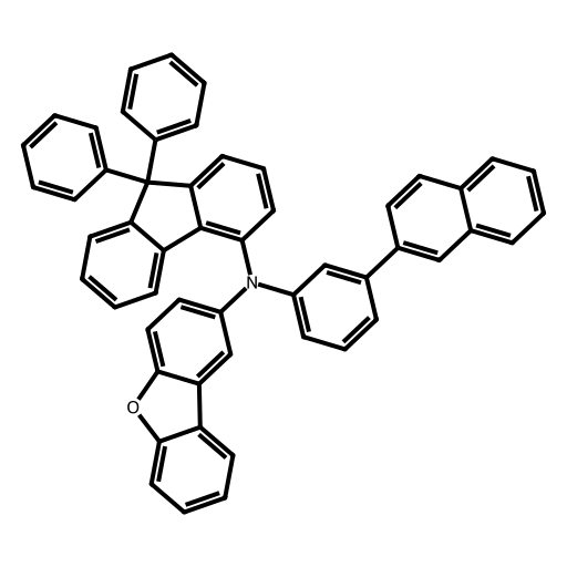 c1ccc(C2(c3ccccc3)c3ccccc3-c3c(N(c4cccc(-c5ccc6ccccc6c5)c4)c4ccc5oc6ccccc6c5c4)cccc32)cc1